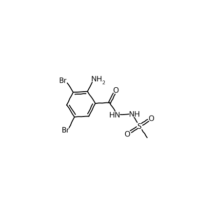 CS(=O)(=O)NNC(=O)c1cc(Br)cc(Br)c1N